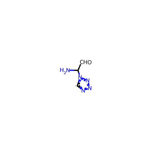 NC(C=O)n1[c]nnn1